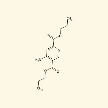 CCCOC(=O)c1ccc(C(=O)OCCC)c(N)c1